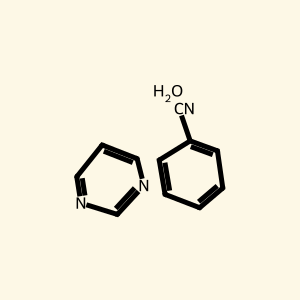 N#Cc1ccccc1.O.c1cncnc1